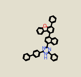 c1ccc(C2=NC(c3ccc(-c4ccc(-c5ccccc5)c5oc6ccccc6c45)c4ccccc34)=NC(c3ccc(-c4ccccc4)cc3)N2)cc1